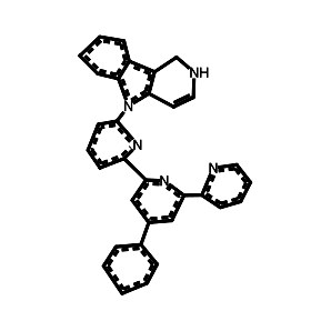 C1=Cc2c(c3ccccc3n2-c2cccc(-c3cc(-c4ccccc4)cc(-c4ccccn4)n3)n2)CN1